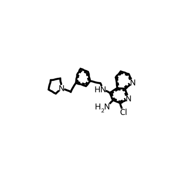 Nc1c(Cl)nc2ncccc2c1NCc1cccc(CN2CCCC2)c1